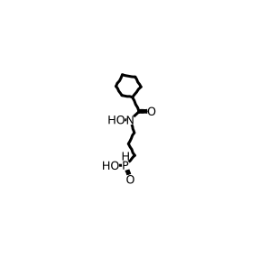 O=C(C1CCCCC1)N(O)CCC[PH](=O)O